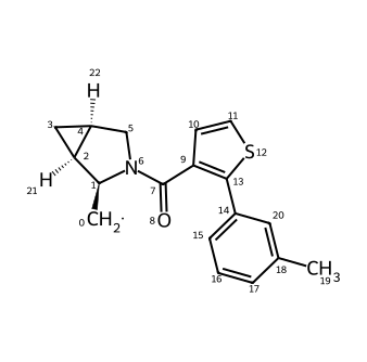 [CH2][C@H]1[C@H]2C[C@H]2CN1C(=O)c1ccsc1-c1cccc(C)c1